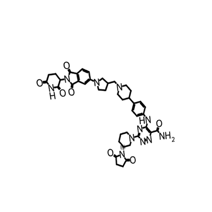 NC(=O)c1nnc(N2CCC[C@@H](N3C(=O)CCC3=O)C2)nc1Nc1ccc(C2CCN(CC3CCN(c4ccc5c(c4)C(=O)N(C4CCC(=O)NC4=O)C5=O)C3)CC2)cc1